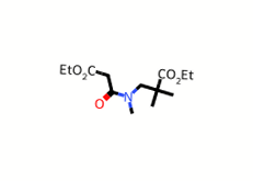 CCOC(=O)CC(=O)N(C)CC(C)(C)C(=O)OCC